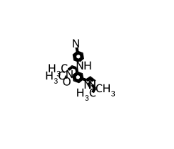 CC(=O)N1c2ccc(-c3ccn(C(C)C)n3)cc2C(Nc2ccc(C#N)cc2)CC1C